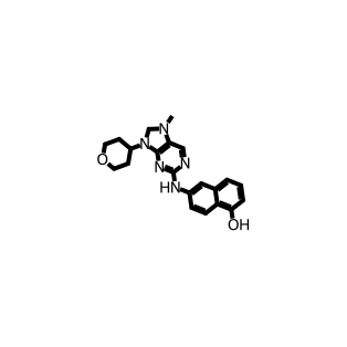 CN1CN(C2CCOCC2)c2nc(Nc3ccc4c(O)cccc4c3)ncc21